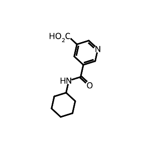 O=C(O)c1cncc(C(=O)NC2CCCCC2)c1